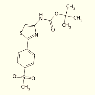 CC(C)(C)OC(=O)Nc1csc(-c2ccc(S(C)(=O)=O)cc2)n1